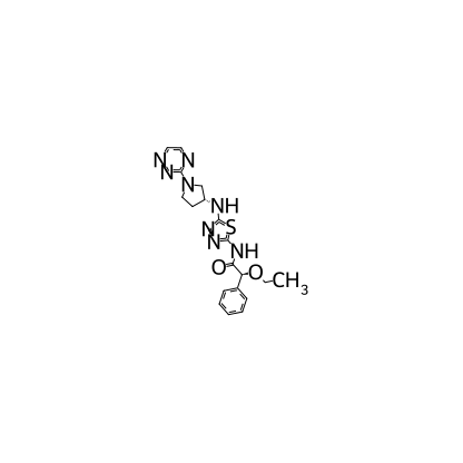 CCO[C@H](C(=O)Nc1nnc(N[C@@H]2CCN(c3nccnn3)C2)s1)c1ccccc1